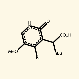 CCCCC(C(=O)O)c1c(Br)c(OC)c[nH]c1=O